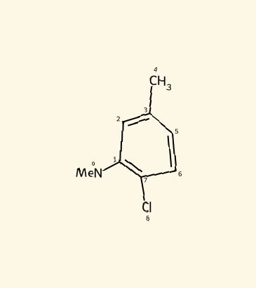 CNc1cc(C)ccc1Cl